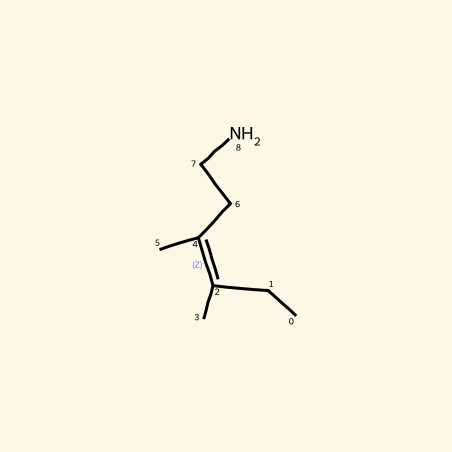 CC/C(C)=C(/C)CCN